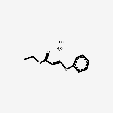 CCOC(=O)C=C[B]c1ccccc1.O.O